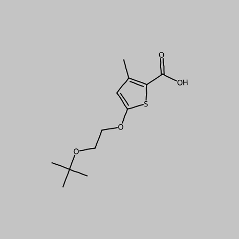 Cc1cc(OCCOC(C)(C)C)sc1C(=O)O